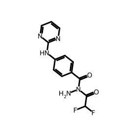 NN(C(=O)c1ccc(Nc2ncccn2)cc1)C(=O)C(F)F